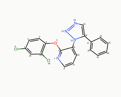 Clc1ccc(Oc2ncccc2-n2nncc2-c2ccccc2)c(Cl)c1